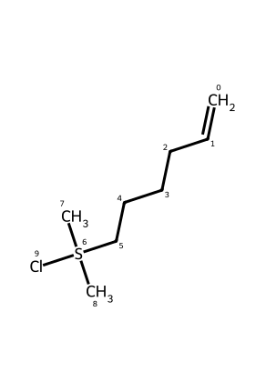 C=CCCCCS(C)(C)Cl